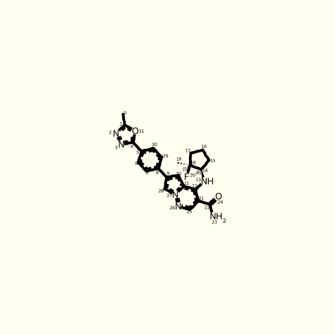 Cc1nnc(-c2ccc(-c3cc4c(N[C@@H]5CCC[C@]5(C)F)c(C(N)=O)cnn4c3)cc2)o1